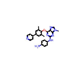 Cc1cc(-c2ccncc2)cc(C)c1Oc1nc(Nc2ccc(N)cc2)nc2c1ncn2C